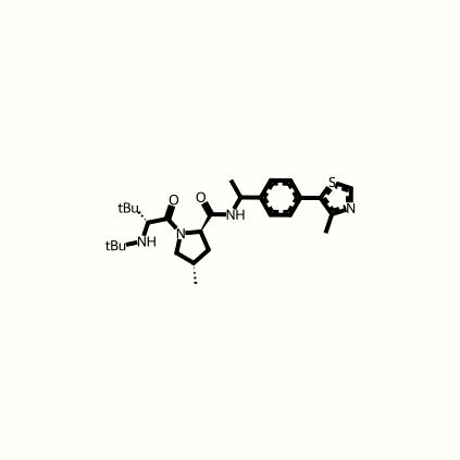 Cc1ncsc1-c1ccc(C(C)NC(=O)[C@H]2C[C@H](C)CN2C(=O)[C@H](NC(C)(C)C)C(C)(C)C)cc1